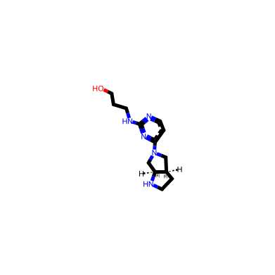 OCCCNc1nccc(N2C[C@H]3CCN[C@H]3C2)n1